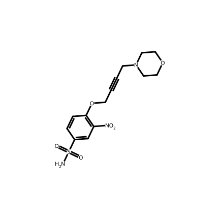 NS(=O)(=O)c1ccc(OCC#CCN2CCOCC2)c([N+](=O)[O-])c1